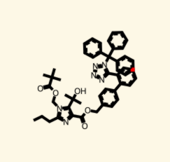 CCCc1nc(C(=O)OCc2ccc(-c3ccccc3-c3nnnn3C(c3ccccc3)(c3ccccc3)c3ccccc3)cc2)c(C(C)(C)O)n1COC(=O)C(C)(C)C